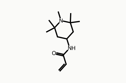 C=CC(=O)NC1CC(C)(C)N(C)C(C)(C)C1